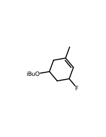 CC1=CC(F)CC(OCC(C)C)C1